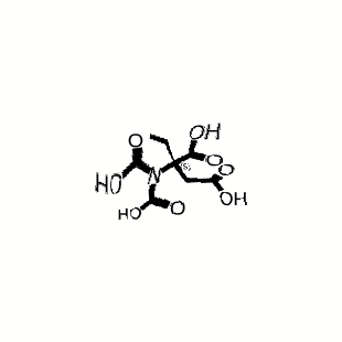 CC[C@](CC(=O)O)(C(=O)O)N(C(=O)O)C(=O)O